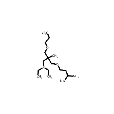 CCCOCC(C)(COCCC(N)N)CN(CC)CC